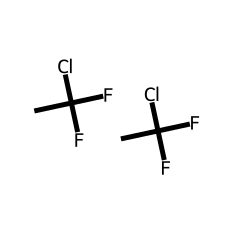 CC(F)(F)Cl.CC(F)(F)Cl